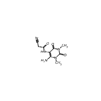 Cn1c(N)c(NC(=O)CC#N)c(=O)n(C)c1=O